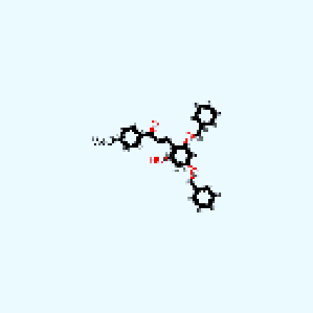 COc1ccc(C(=O)C=Cc2c(O)cc(OCc3ccccc3)cc2OCc2ccccc2)cc1